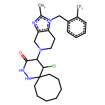 Cc1nc2c(n1Cc1ccccc1C(F)(F)F)CCN(C1C(=O)NNC3(CCCCCCC3)C1Cl)C2